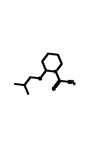 CC(C)COC1CCCCN1C(N)=O